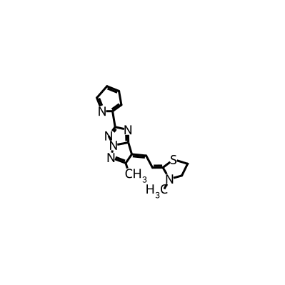 Cc1nn2nc(-c3ccccn3)nc2c1=CC=C1SCCN1C